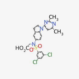 Cc1cc(-n2ccc3cc(N(CC(=O)O)S(=O)(=O)c4cc(Cl)cc(Cl)c4)ccc32)nc(C)n1